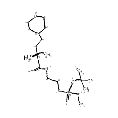 CSP(=O)(OC(C)(C)C)SCCOC(=O)C(C)(C)CCN1CCOCC1